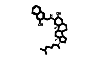 CC(C)CCCC(C)[C@H]1CCC2C3CCC4C[C@@H](O)[C@H](NCc5cc6ccccc6cc5O)C[C@]4(C)C3CC[C@@]21C